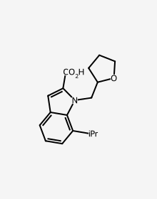 CC(C)c1cccc2cc(C(=O)O)n(CC3CCCO3)c12